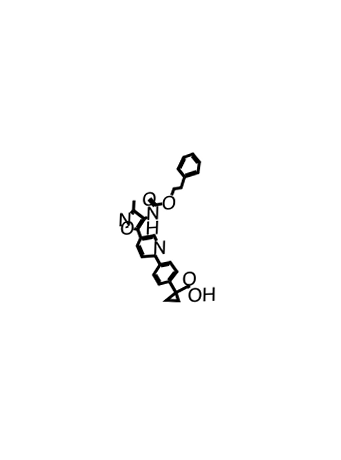 Cc1noc(-c2ccc(-c3ccc(C4(C(=O)O)CC4)cc3)nc2)c1NC(=O)OCCc1ccccc1